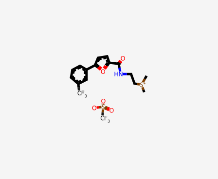 C[S+](C)CCNC(=O)c1ccc(-c2cccc(C(F)(F)F)c2)o1.O=S(=O)([O-])C(F)(F)F